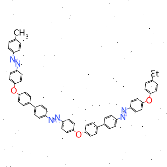 CCc1ccc(Oc2ccc(/N=N/c3ccc(-c4ccc(Oc5ccc(/N=N/c6ccc(-c7ccc(Oc8ccc(/N=N/c9ccc(C)cc9)cc8)cc7)cc6)cc5)cc4)cc3)cc2)cc1